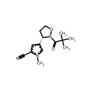 Cn1cc([C@@H]2CCON2C(=O)C(C)(C)C)cc1C#N